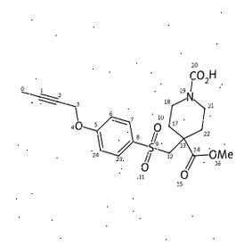 CC#CCOc1ccc(S(=O)(=O)CC2(C(=O)OC)CCN(C(=O)O)CC2)cc1